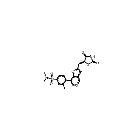 Cc1cc(S(=O)(=O)N(C)C)ccc1-c1cncc2cc(/C=C3\SC(=O)NC3=O)oc12